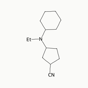 CCN(C1CCCCC1)C1CCC(C#N)C1